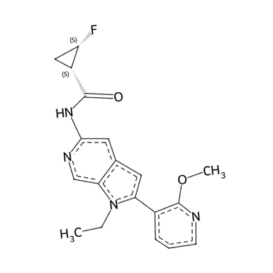 CCn1c(-c2cccnc2OC)cc2cc(NC(=O)[C@@H]3C[C@@H]3F)ncc21